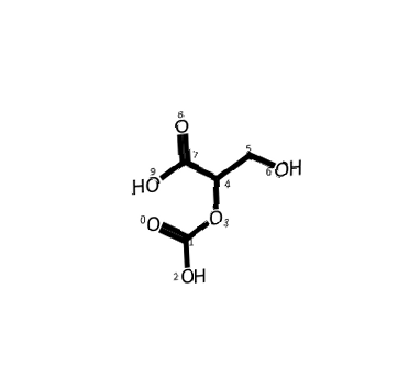 O=C(O)OC(CO)C(=O)O